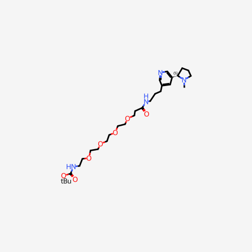 CN1CCC[C@H]1c1cncc(CCCNC(=O)CCOCCOCCOCCOCCNC(=O)OC(C)(C)C)c1